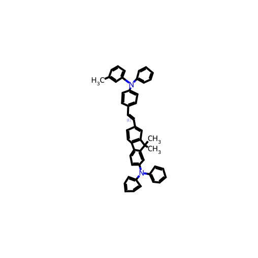 Cc1cccc(N(c2ccccc2)c2ccc(/C=C/c3ccc4c(c3)C(C)(C)c3cc(N(c5ccccc5)c5ccccc5)ccc3-4)cc2)c1